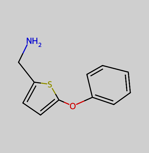 NCc1ccc(Oc2ccccc2)s1